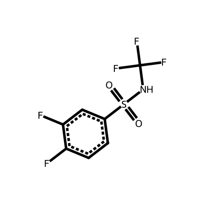 O=S(=O)(NC(F)(F)F)c1ccc(F)c(F)c1